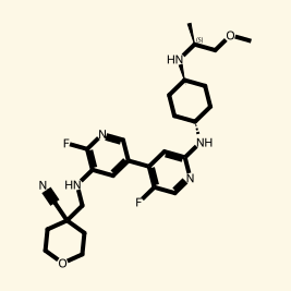 COC[C@H](C)N[C@H]1CC[C@H](Nc2cc(-c3cnc(F)c(NCC4(C#N)CCOCC4)c3)c(F)cn2)CC1